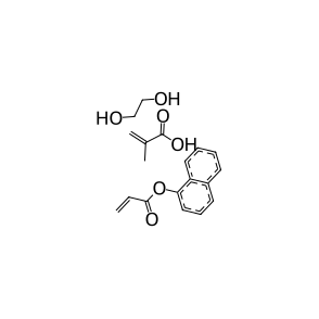 C=C(C)C(=O)O.C=CC(=O)Oc1cccc2ccccc12.OCCO